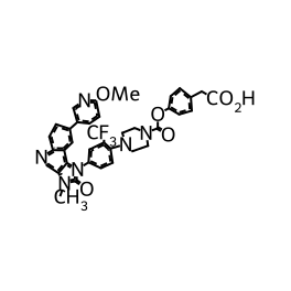 COc1ccc(-c2ccc3ncc4c(c3c2)n(-c2ccc(N3CCN(C(=O)Oc5ccc(CC(=O)O)cc5)CC3)c(C(F)(F)F)c2)c(=O)n4C)cn1